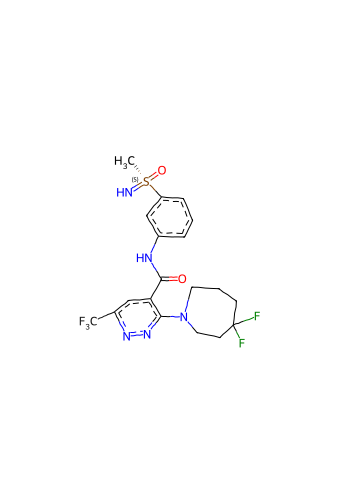 C[S@](=N)(=O)c1cccc(NC(=O)c2cc(C(F)(F)F)nnc2N2CCCC(F)(F)CC2)c1